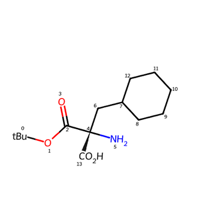 CC(C)(C)OC(=O)[C@@](N)(CC1CCCCC1)C(=O)O